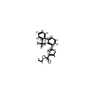 CCOC(=O)c1csc(-c2cccc(-c3ccccc3C(F)(F)F)c2)n1